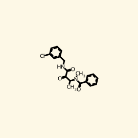 CC(C(=O)C(=O)NCc1cccc(Cl)c1)N(C)C(=O)c1ccccc1